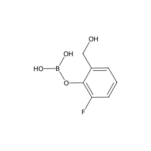 OCc1cccc(F)c1OB(O)O